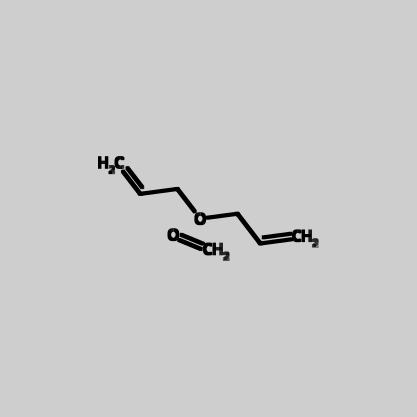 C=CCOCC=C.C=O